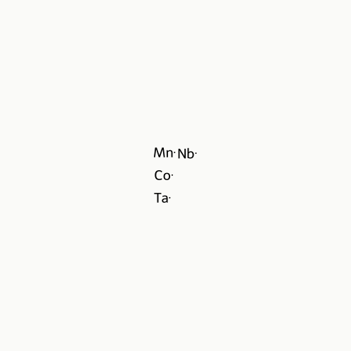 [Co].[Mn].[Nb].[Ta]